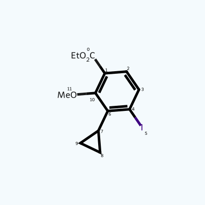 CCOC(=O)c1ccc(I)c(C2CC2)c1OC